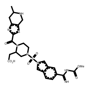 COC(=O)NC(=N)c1ccc2cn(S(=O)(=O)N3CCN(C(=O)c4nc5c(s4)CNC(C)C5)C(CC(=O)O)C3)cc2c1